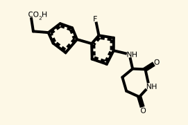 O=C(O)Cc1ccc(-c2ccc(NC3CCC(=O)NC3=O)cc2F)cc1